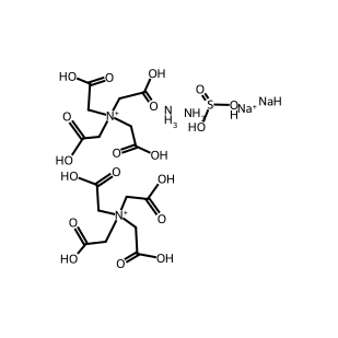 N.N.O=C(O)C[N+](CC(=O)O)(CC(=O)O)CC(=O)O.O=C(O)C[N+](CC(=O)O)(CC(=O)O)CC(=O)O.O=S(O)O.[Na+].[NaH]